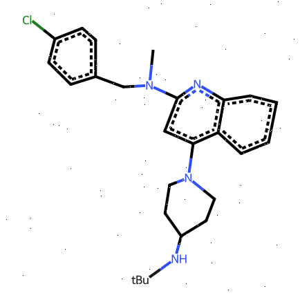 CN(Cc1ccc(Cl)cc1)c1cc(N2CCC(NC(C)(C)C)CC2)c2ccccc2n1